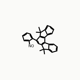 CC1(C)c2ccccc2-c2c1cc(-c1ccccc1N=O)c1c2-c2ccccc2C1(C)C